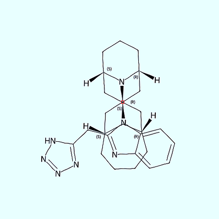 c1ccc2c(c1)nc(Cc1nnn[nH]1)n2[C@@H]1C[C@H]2CCC[C@@H](C1)N2[C@H]1C[C@@H]2CCCC[C@@H](C2)C1